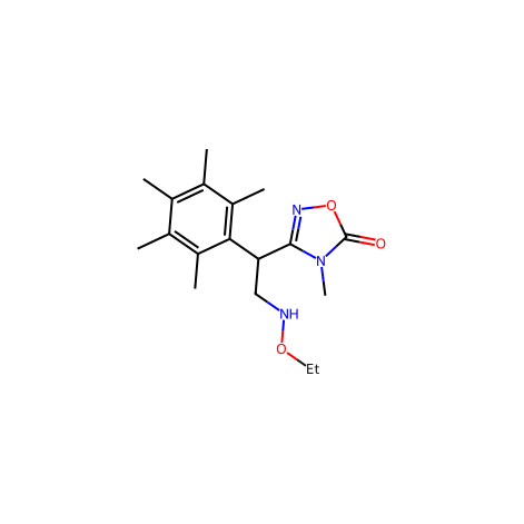 CCONCC(c1c(C)c(C)c(C)c(C)c1C)c1noc(=O)n1C